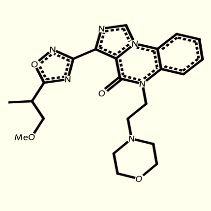 COCC(C)c1nc(-c2ncn3c2c(=O)n(CCN2CCOCC2)c2ccccc23)no1